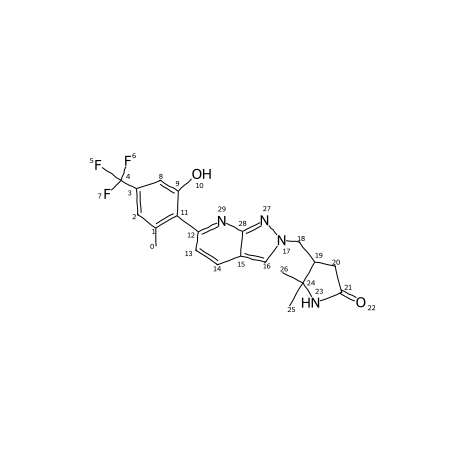 Cc1cc(C(F)(F)F)cc(O)c1-c1ccc2cn(CC3CC(=O)NC3(C)C)nc2n1